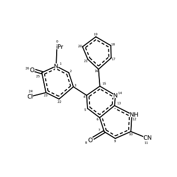 CC(C)n1cc(-c2cc3c(=O)cc(C#N)[nH]c3nc2-c2ccccc2)cc(Cl)c1=O